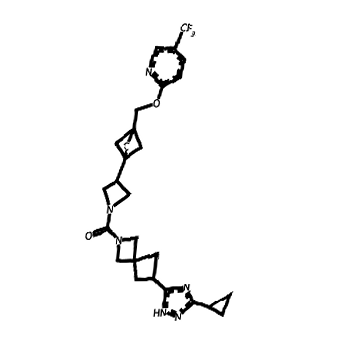 O=C(N1CC(C23CC(COc4ccc(C(F)(F)F)cn4)(C2)C3)C1)N1CC2(CC(c3nc(C4CC4)n[nH]3)C2)C1